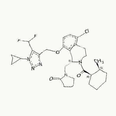 C[C@H]1CCCC[C@H]1C(=O)N1CCc2c(Cl)ccc(OCc3nnn(C4CC4)c3C(F)F)c2[C@H]1CN1CCCC1=O